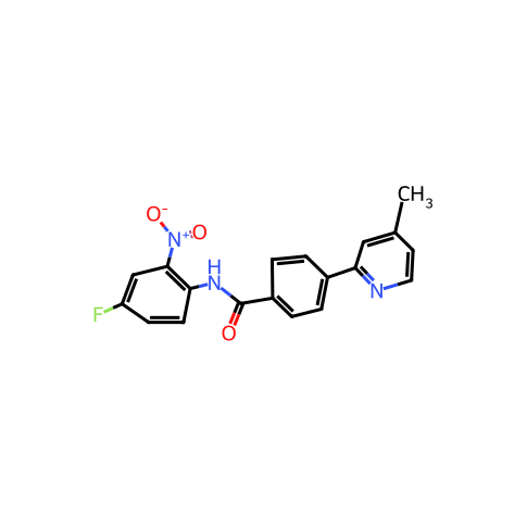 Cc1ccnc(-c2ccc(C(=O)Nc3ccc(F)cc3[N+](=O)[O-])cc2)c1